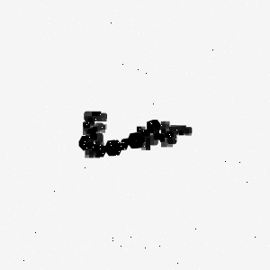 COO/C=N\[C@H](C(=O)N1CCC[C@H]1c1nc(-c2ccc(/C=C/c3ccc4[nH]c([C@@H]5CCCN5C(=O)[C@@H](NC(=O)OC)C(C)C)nc4c3)cc2)c[nH]1)C(C)C